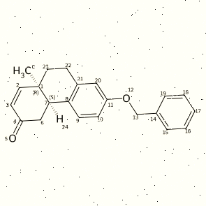 C[C@@]12C=CC(=O)C[C@@H]1c1ccc(OCc3ccccc3)cc1CC2